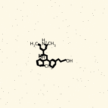 C=C/C=C(\C=C(\C)N)C(/CC(c1cccc(CCCO)c1)c1ccccc1C)=N/O